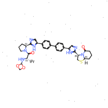 CC(C)[C@H](NC1OCO1)C(=O)N1CCC[C@H]1c1ncc(-c2ccc(-c3ccc(-c4cnc([C@@H]5CS[C@@H]6CCCC(=O)N65)[nH]4)cc3)cc2)[nH]1